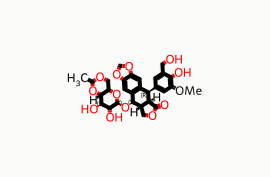 COc1cc([C@@H]2c3cc4c(cc3[C@@H](O[C@@H]3OC5COC(C)O[C@H]5[C@@H](O)C3O)[C@H]3COC(=O)[C@H]23)OCO4)cc(CO)c1O